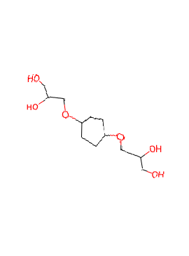 OCC(O)COC1CCC(OCC(O)CO)CC1